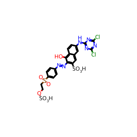 O=S(=O)(O)OCCS(=O)(=O)c1ccc(N=Nc2c(S(=O)(=O)O)cc3cc(Nc4nc(Cl)nc(Cl)n4)ccc3c2O)cc1